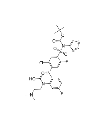 CN(C)CCN(C(=O)O)c1cc(F)ccc1Nc1cc(F)c(S(=O)(=O)N(C(=O)OC(C)(C)C)c2cscn2)cc1Cl